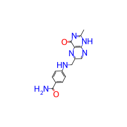 Cc1nc(=O)c2nc(CNc3ccc(C(N)=O)cc3)cnc2[nH]1